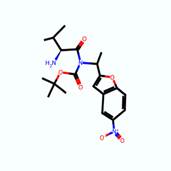 CC(C)[C@H](N)C(=O)N(C(=O)OC(C)(C)C)C(C)c1cc2cc([N+](=O)[O-])ccc2o1